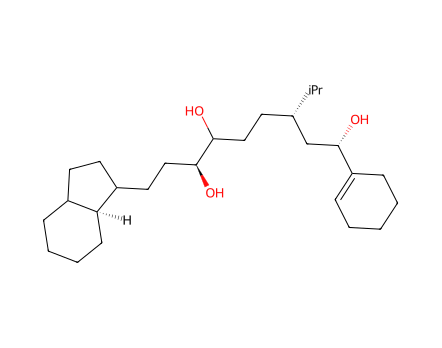 CC(C)[C@@H](CCC(O)[C@@H](O)CCC1CCC2CCCC[C@@H]21)C[C@H](O)C1=CCCCC1